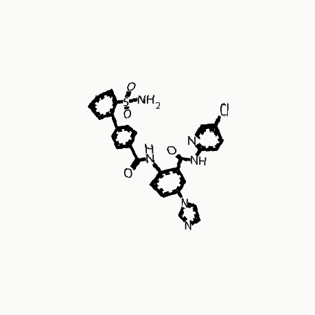 NS(=O)(=O)c1ccccc1-c1ccc(C(=O)Nc2ccc(-n3ccnc3)cc2C(=O)Nc2ccc(Cl)cn2)cc1